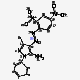 Cc1nn(-c2ccccc2)c(N)c1/N=N/c1ccc([N+](=O)[O-])cc1[N+](=O)[O-]